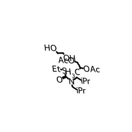 CC(=O)OCC(C)OC(C)=O.CCSC(=O)N(CC(C)C)CC(C)C.OCCO